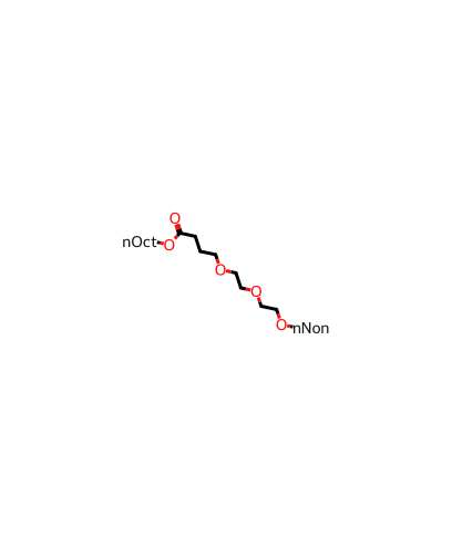 CCCCCCCCCOCCOCCOCCCC(=O)OCCCCCCCC